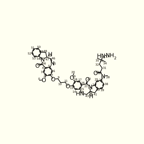 COc1cc2c(cc1OCCCOc1cc3c(cc1OC)C(=O)N1c4cc(N(C)C(=O)CCC(C)(C)NN)ccc4C[C@H]1CN3)N=C[C@@H]1Cc3ccccc3N1C2=O